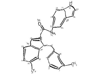 Cc1cccc(Cn2c(C(=O)Nc3cnc4[nH]ccc4c3)cc3ccc(C(F)(F)F)cc32)c1